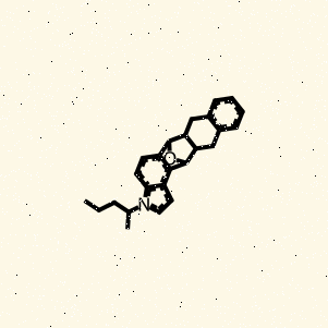 CCCC(C)n1ccc2c3c(ccc21)C1OC3C2Cc3ccccc3CC12